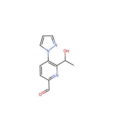 CC(O)c1nc(C=O)ccc1-n1cccn1